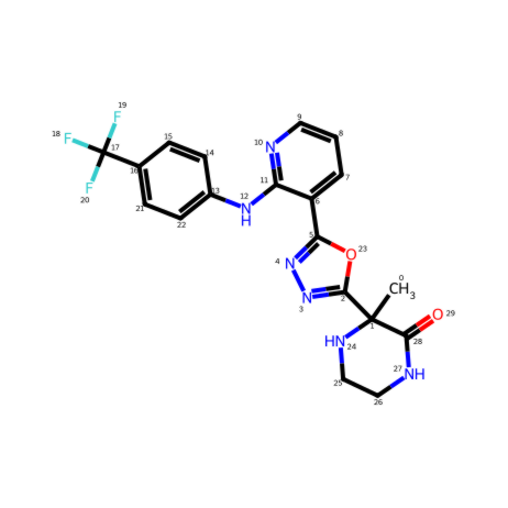 CC1(c2nnc(-c3cccnc3Nc3ccc(C(F)(F)F)cc3)o2)NCCNC1=O